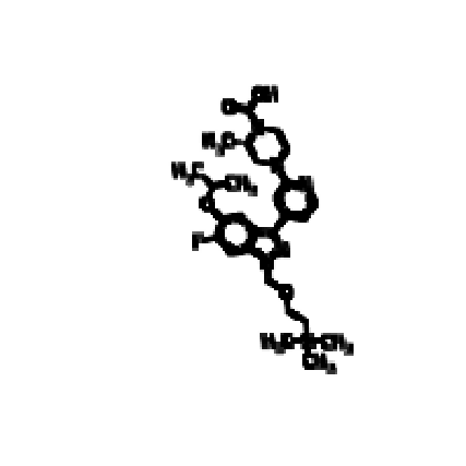 CC(C)Oc1cc2c(-c3ccnc(N4CCN(C(=O)O)[C@@H](C)C4)c3)nn(COCC[Si](C)(C)C)c2cc1F